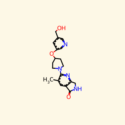 Cc1cc2c(nc1N1CCC(Oc3cncc(CO)c3)CC1)CNC2=O